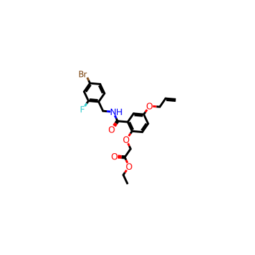 C=CCOc1ccc(OCC(=O)OCC)c(C(=O)NCc2ccc(Br)cc2F)c1